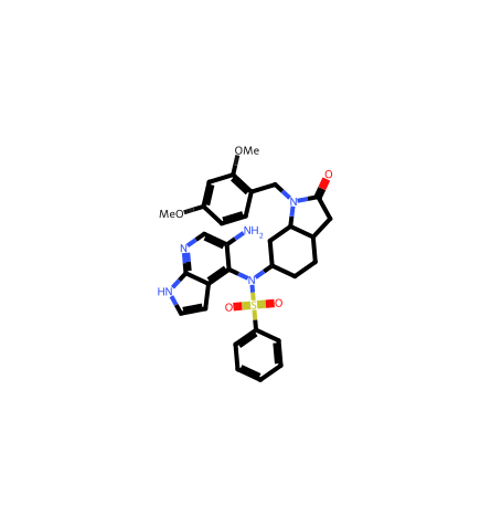 COc1ccc(CN2C(=O)CC3CCC(N(c4c(N)cnc5[nH]ccc45)S(=O)(=O)c4ccccc4)CC32)c(OC)c1